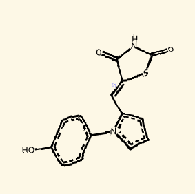 O=C1NC(=O)/C(=C/c2cccn2-c2ccc(O)cc2)S1